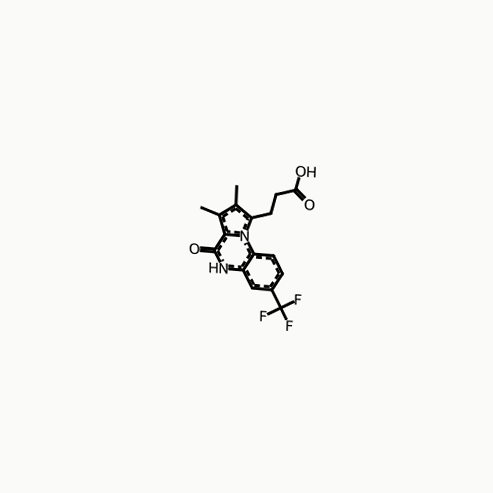 Cc1c(C)c2c(=O)[nH]c3cc(C(F)(F)F)ccc3n2c1CCC(=O)O